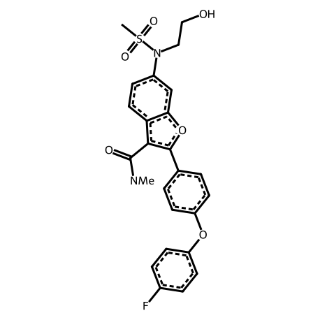 CNC(=O)c1c(-c2ccc(Oc3ccc(F)cc3)cc2)oc2cc(N(CCO)S(C)(=O)=O)ccc12